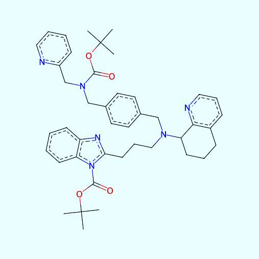 CC(C)(C)OC(=O)N(Cc1ccc(CN(CCCc2nc3ccccc3n2C(=O)OC(C)(C)C)C2CCCc3cccnc32)cc1)Cc1ccccn1